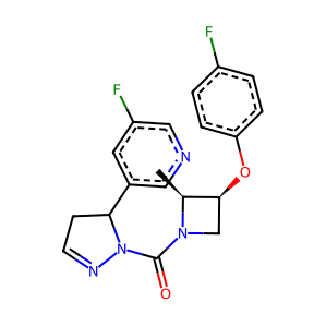 C[C@H]1[C@@H](Oc2ccc(F)cc2)CN1C(=O)N1N=CCC1c1cncc(F)c1